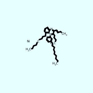 CCC=CC(=Nc1cccc(CCCCCCCCCC)c1)C(CCCC)=Nc1cccc(CCCCCCCCCC)c1.[Ni]